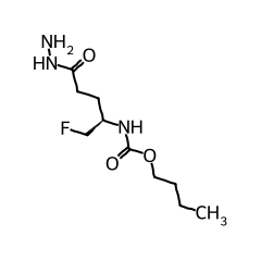 CCCCOC(=O)N[C@@H](CF)CCC(=O)NN